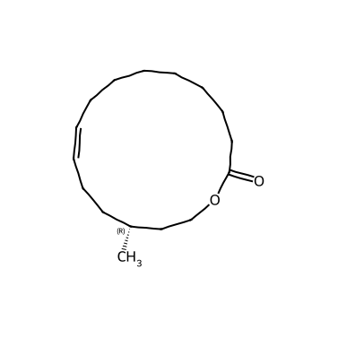 C[C@@H]1CCC=CCCCCCCCC(=O)OCC1